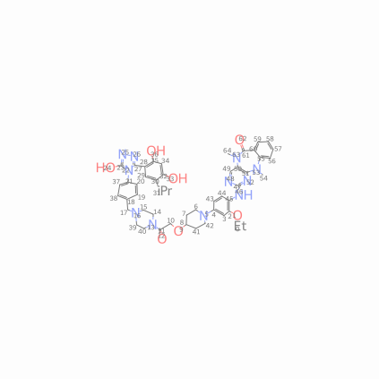 CCOc1cc(N2CCC(OCC(=O)N3CCN(Cc4ccc(-n5c(O)nnc5-c5cc(C(C)C)c(O)cc5O)cc4)CC3)CC2)ccc1Nc1ncc2c(n1)N(C)c1ccccc1C(=O)N2C